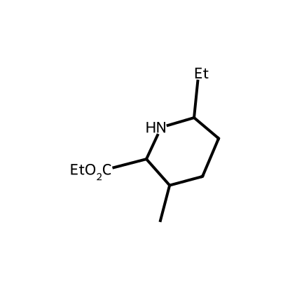 CCOC(=O)C1NC(CC)CCC1C